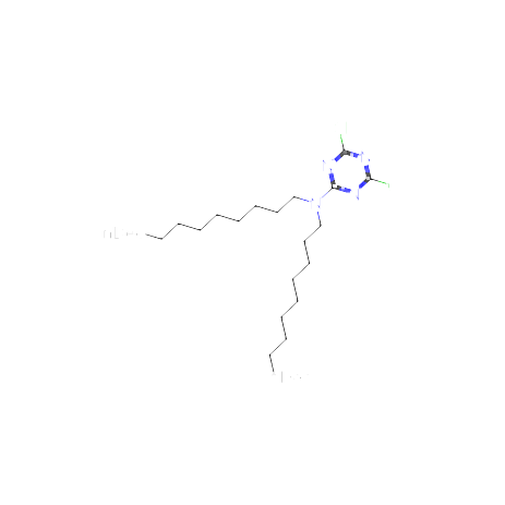 CCCCCCCCCCCCCCCCCCN(CCCCCCCCCCCCCCCCCC)c1nc(Cl)nc(Cl)n1